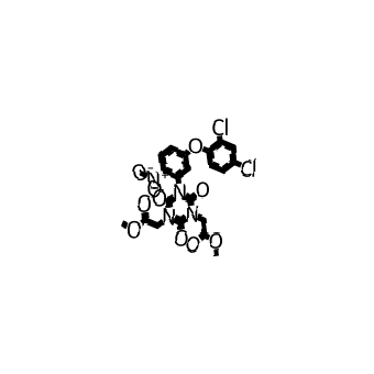 COC(=O)Cn1c(=O)n(CC(=O)OC)c(=O)n(-c2cc(Oc3ccc(Cl)cc3Cl)ccc2[N+](=O)[O-])c1=O